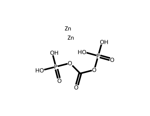 O=C(OP(=O)(O)O)OP(=O)(O)O.[Zn].[Zn]